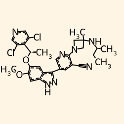 CC[C@H](C)NC1(C)CN(c2ncc(-c3n[nH]c4cc(OC)c(O[C@H](C)c5c(Cl)cncc5Cl)cc34)cc2C#N)C1